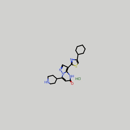 Cl.O=c1cc(C2CCNCC2)n2ncc(-c3nc(C4CCCCC4)cs3)c2[nH]1